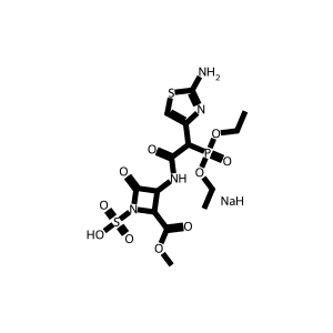 CCOP(=O)(OCC)C(C(=O)NC1C(=O)N(S(=O)(=O)O)C1C(=O)OC)c1csc(N)n1.[NaH]